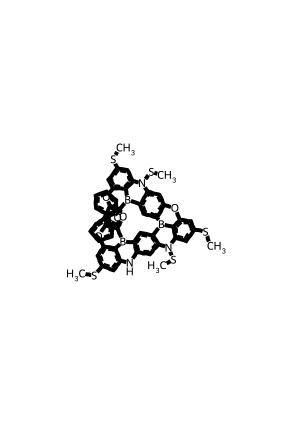 CSc1cc2c3c(c1)Oc1c(oc4ccccc14)B3c1cc3c(cc1N2)N(SC)c1cc(SC)cc2c1B3c1cc3c(cc1O2)N(SC)c1cc(SC)cc2c1B3c1oc3ccccc3c1O2